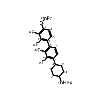 CCCCCCC1CCC(c2ccc(-c3ccc(OCCC)c(F)c3F)c(F)c2F)CC1